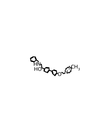 CN1CCN(CCOc2ccc(-c3ccc(C(O)CNCc4ccccc4)cc3)cc2)CC1